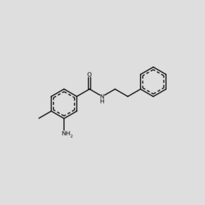 Cc1ccc(C(=O)NCCc2ccccc2)cc1N